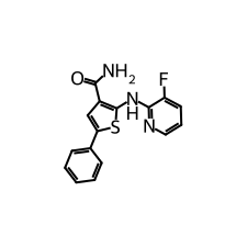 NC(=O)c1cc(-c2ccccc2)sc1Nc1ncccc1F